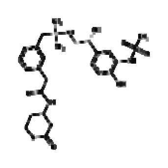 CC(C)(Cc1cccc(CC(=O)NC2CCSC(=O)C2)c1)NC[C@H](O)c1ccc(O)c(NS(C)(=O)=O)c1